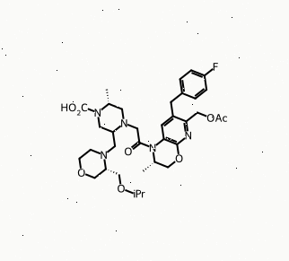 CC(=O)OCc1nc2c(cc1Cc1ccc(F)cc1)N(C(=O)CN1C[C@@H](C)N(C(=O)O)CC1CN1CCOC[C@H]1COC(C)C)[C@@H](C)CO2